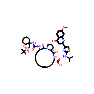 COc1ccc2c(O[C@@H]3C[C@H]4C(=O)N[C@H](C(=O)O)CC/C=C\CCCCC[C@H](NC(=O)NC5(CS(=O)(=O)C(C)(C)C)CCCCC5)C(=O)N4C3)cc(-c3csc(NC(C)C)n3)nc2c1